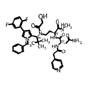 CNC(=O)[C@H](CCN(C(=O)CO)[C@@H](c1cc(-c2cc(F)ccc2F)cn1Cc1ccccc1)C(C)(C)C)NC(=O)[C@H](CC(N)=O)NC(=O)Cc1ccncc1